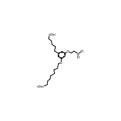 CCCCCCCCCCCCCCCCCCOc1cc(CCCCCCCCCCCCCCC)cc(OCCN(CC)CC)c1